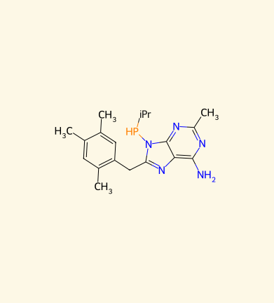 Cc1nc(N)c2nc(Cc3cc(C)c(C)cc3C)n(PC(C)C)c2n1